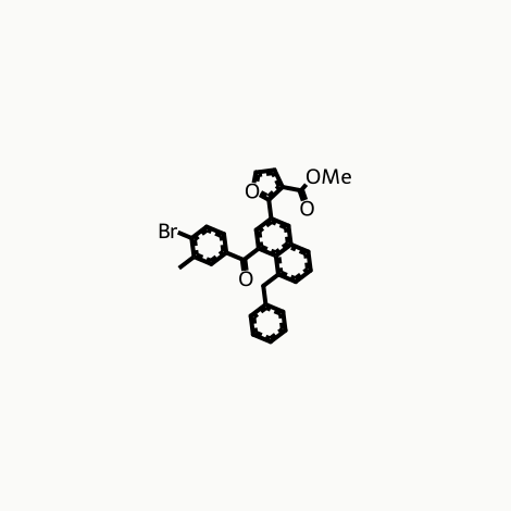 COC(=O)c1ccoc1-c1cc(C(=O)c2ccc(Br)c(C)c2)c2c(Cc3ccccc3)cccc2c1